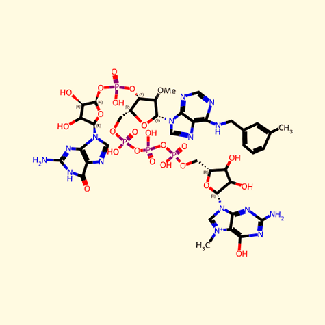 COC1[C@@H](OP(=O)(O)O[C@H]2O[C@@H](n3cnc4c(=O)[nH]c(N)nc43)C(O)[C@H]2O)[C@@H](COP(=O)(O)OP(=O)(O)OP(=O)(O)OC[C@H]2O[C@@H](n3c[n+](C)c4c(O)nc(N)nc43)C(O)C2O)O[C@H]1n1cnc2c(NCc3cccc(C)c3)ncnc21